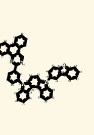 c1cc(-c2ncc3c4ccccc4c4ccccc4c3n2)cc(-n2c3ccccc3c3c4c5ccccc5n(-c5ccc6oc7ccccc7c6c5)c4ccc32)c1